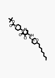 CCCCCCCCC1CC[C@@H](CNc2cnn(C3CCN(C(=O)OC(C)(C)C)CC3)c(=O)c2Cl)CO1